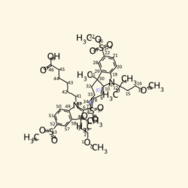 COCCC1(C)C(/C=C/C=C2/N(C(C)(C)CCOC)c3ccc(S(=O)(=O)OC)cc3C2(C)CCCS(=O)(=O)OC)=[N+](CCCCCC(=O)O)c2ccc(S(=O)OC)cc21